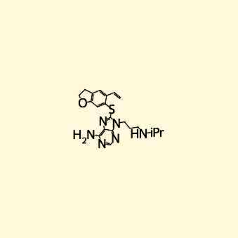 C=Cc1cc2c(cc1Sc1nc3c(N)ncnc3n1CCCNC(C)C)OCC2